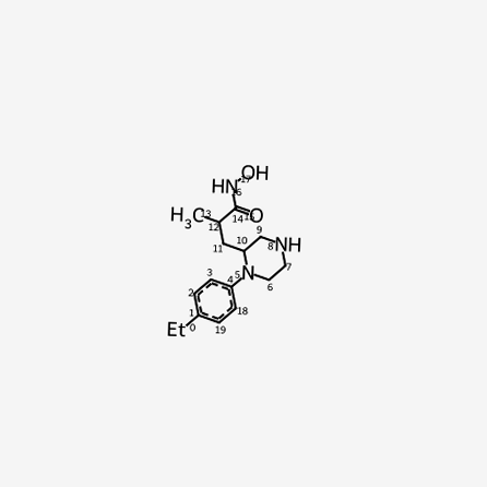 CCc1ccc(N2CCNCC2CC(C)C(=O)NO)cc1